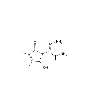 CC1=C(C)C(O)N(/C(=N/N)NN)C1=O